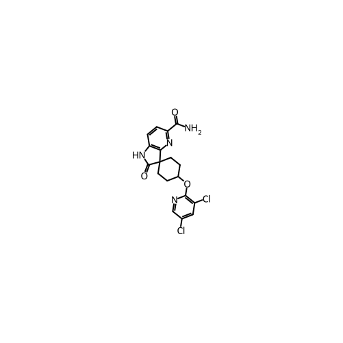 NC(=O)c1ccc2c(n1)C1(CCC(Oc3ncc(Cl)cc3Cl)CC1)C(=O)N2